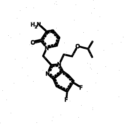 CC(C)OCCn1c(Cn2cccc(N)c2=O)nc2cc(F)c(F)cc21